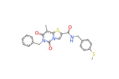 CSc1ccc(CNC(=O)c2cn3c(=O)n(Cc4ccccc4)c(=O)c(C)c3s2)cc1